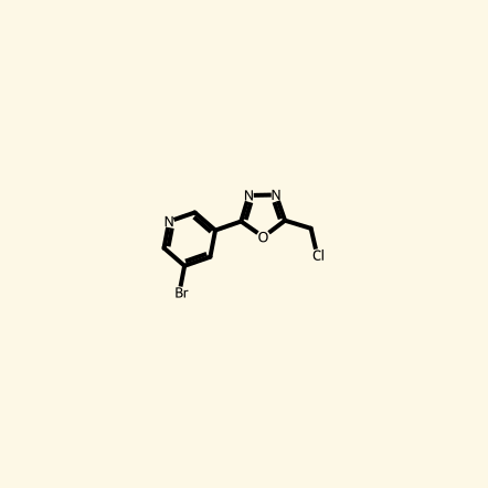 ClCc1nnc(-c2cncc(Br)c2)o1